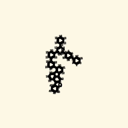 c1ccc(-c2ccc(-c3nc(-c4ccccc4)cc(-c4cccc(-c5cccc(-c6cccc7c6-c6cccc8c6c-7cc6oc7ccccc7c68)c5)c4)n3)cc2)cc1